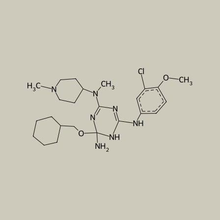 COc1ccc(NC2=NC(N(C)C3CCN(C)CC3)=NC(N)(OCC3CCCCC3)N2)cc1Cl